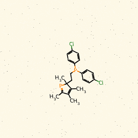 CC1=PC(C)(CCP(c2ccc(Cl)cc2)c2ccc(Cl)cc2)C(C)=C1C